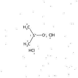 C[S+](C)[O-].Cl.Cl